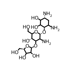 NC1C(O[C@@H]2O[C@H](CO)C(O)C2O)[C@H](O)C(CO)O[C@@H]1O[C@@H]1C(N)C[C@@H](N)C(O)C1O